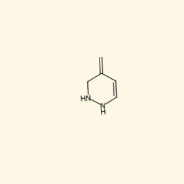 C=C1C=CNNC1